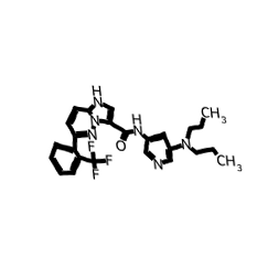 CCCN(CCC)c1cncc(NC(=O)C2=CNC3C=CC(c4ccccc4C(F)(F)F)=NN23)c1